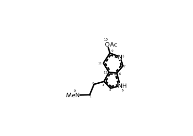 CNCCc1c[nH]c2cnc(OC(C)=O)cc12